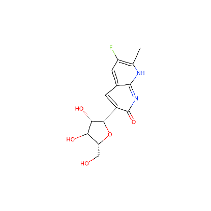 Cc1[nH]c2nc(=O)c([C@@H]3O[C@H](CO)C(O)[C@@H]3O)cc-2cc1F